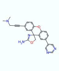 CN(C)CC#Cc1ccc2c(c1)C1(COC(N)=N1)c1cc(-c3cncnc3)ccc1O2